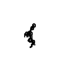 CCC[C@@H](C)Oc1cccc([C@@H](C)NS(=O)(=O)CCCOCOC)c1